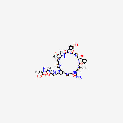 C=C(NC(=O)C(=C)NC(=O)c1csc(-c2ccc3c(n2)-c2csc(n2)-c2csc(n2)C(C(C)C(C)=O)NC(=O)C(Cc2ccc(O)cc2)NC(=O)c2csc(n2)C(C(O)c2ccccc2)NC(=O)c2nc(sc2C)C(CC(N)=O)NC(=O)c2csc-3n2)n1)C(=O)O